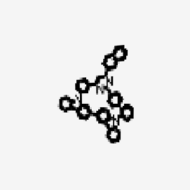 c1ccc(-c2nc(-c3cccc(-n4c5ccccc5c5ccc(-c6ccc7c(c6)c6ccccc6n7-c6ccccc6)cc54)c3)cc(-c3ccc4ccccc4c3)n2)cc1